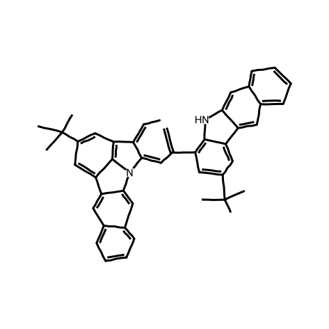 C=C(/C=c1\c(=C/C)c2cc(C(C)(C)C)cc3c4cc5ccccc5cc4n1c23)c1cc(C(C)(C)C)cc2c1[nH]c1cc3ccccc3cc12